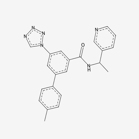 Cc1ccc(-c2cc(C(=O)NC(C)c3cccnc3)cc(-n3cnnn3)c2)cc1